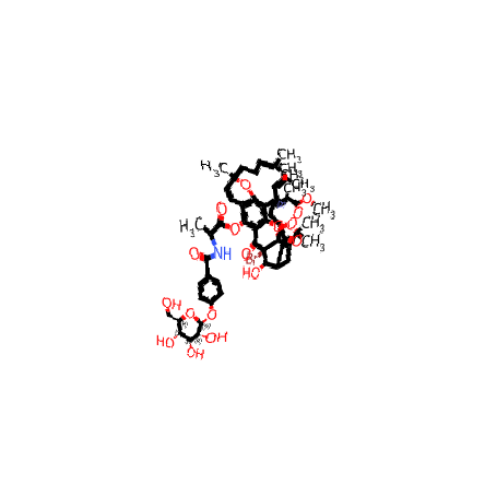 COC(=O)/C(C)=C\CC12OC(C)(C)C3CC(C1=O)C(O)C1(Br)C(=O)c4c(OC(=O)C(C)NC(=O)c5ccc(O[C@@H]6O[C@H](CO)[C@@H](O)[C@@H](O)[C@H]6O)cc5)c5c(c(CC=C(C)C)c4OC321)OC(C)(CCC=C(C)C)C=C5